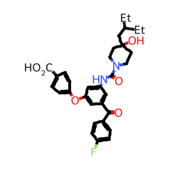 CCC(CC)CC1(O)CCN(C(=O)Nc2cc(Oc3ccc(C(=O)O)cc3)cc(C(=O)c3ccc(F)cc3)c2)CC1